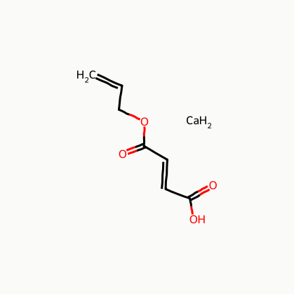 C=CCOC(=O)C=CC(=O)O.[CaH2]